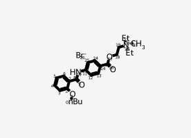 CCCCOc1ccccc1C(=O)Nc1ccc(C(=O)OCC[N+](C)(CC)CC)cc1.[Br-]